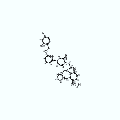 Cc1ccc(COc2cccc(-c3ccc(Cc4nc5ccc(C(=O)O)cc5n4Cc4nccn4C)c(F)c3)n2)c(F)c1